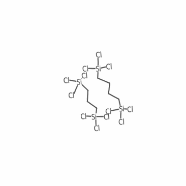 Cl[Si](Cl)(Cl)CCCC[Si](Cl)(Cl)Cl.Cl[Si](Cl)(Cl)CCC[Si](Cl)(Cl)Cl